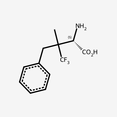 CC(Cc1ccccc1)([C@H](N)C(=O)O)C(F)(F)F